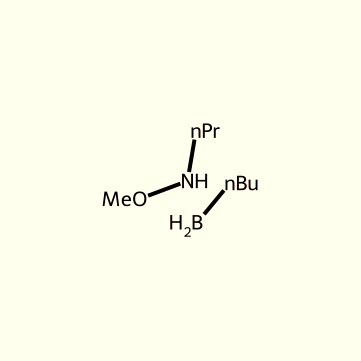 BCCCC.CCCNOC